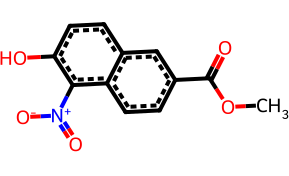 COC(=O)c1ccc2c([N+](=O)[O-])c(O)ccc2c1